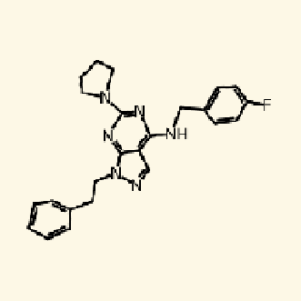 Fc1ccc(CNc2nc(N3CCCC3)nc3c2cnn3CCc2ccccc2)cc1